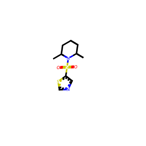 CC1CCCC(C)N1S(=O)(=O)c1cn[c]s1